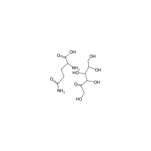 NC(=O)CCC(N)C(=O)O.O=C(CO)C(O)C(O)C(O)CO